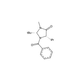 CC(C)[C@H]1C(=O)N(C)[C@@H](C(C)(C)C)N1C(=O)c1ccccc1